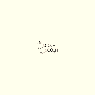 CC(=O)O.CC(=O)O.[Ni]